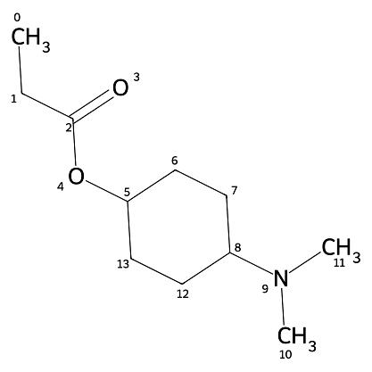 CCC(=O)OC1CCC(N(C)C)CC1